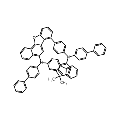 CC1(C)c2ccccc2-c2ccc(N(c3ccc(-c4ccccc4)cc3)c3cc4c(oc5cccc(-c6ccc(N(c7ccccc7)c7ccc(-c8ccccc8)cc7)cc6)c54)c4ccccc34)cc21